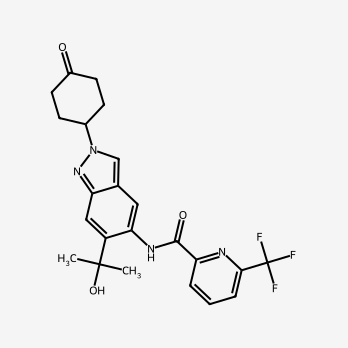 CC(C)(O)c1cc2nn(C3CCC(=O)CC3)cc2cc1NC(=O)c1cccc(C(F)(F)F)n1